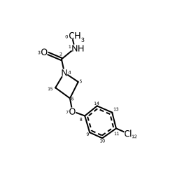 CNC(=O)N1CC(Oc2ccc(Cl)cc2)C1